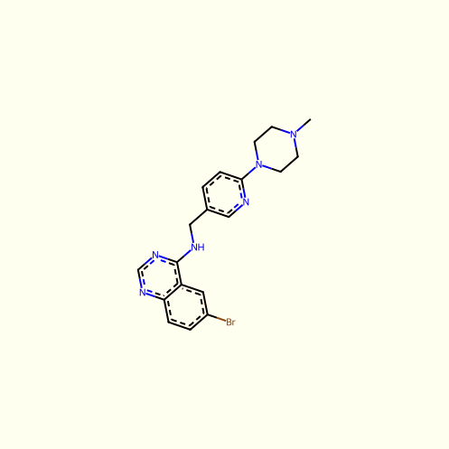 CN1CCN(c2ccc(CNc3ncnc4ccc(Br)cc34)cn2)CC1